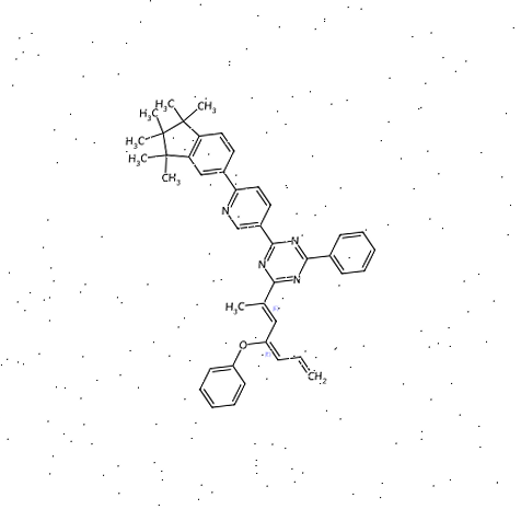 C=C/C=C(\C=C(/C)c1nc(-c2ccccc2)nc(-c2ccc(-c3ccc4c(c3)C(C)(C)C(C)(C)C4(C)C)nc2)n1)Oc1ccccc1